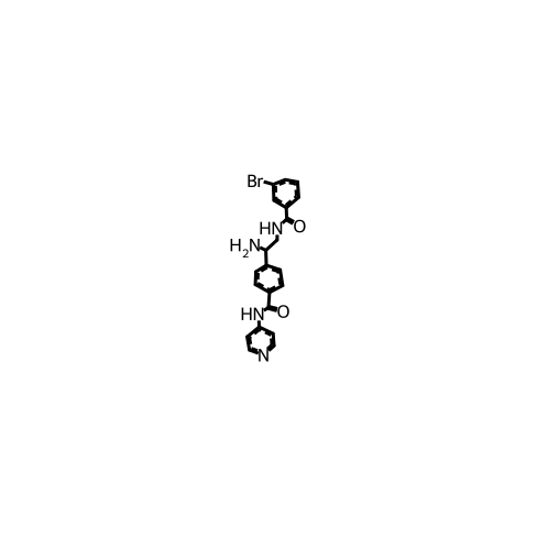 NC(CNC(=O)c1cccc(Br)c1)c1ccc(C(=O)Nc2ccncc2)cc1